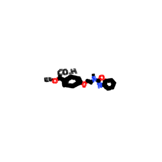 CCOC(C(=O)O)c1ccc(OCCN(C)c2nc3ccccc3o2)cc1